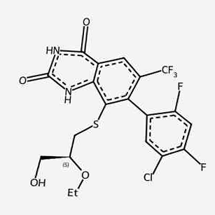 CCO[C@@H](CO)CSc1c(-c2cc(Cl)c(F)cc2F)c(C(F)(F)F)cc2c(=O)[nH]c(=O)[nH]c12